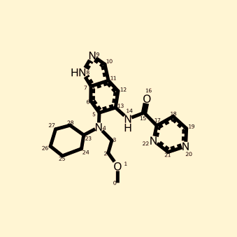 COCCN(c1cc2[nH]ncc2cc1NC(=O)c1ccncn1)C1CCCCC1